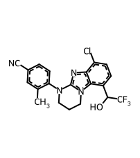 Cc1cc(C#N)ccc1N1CCCn2c1nc1c(Cl)ccc(C(O)C(F)(F)F)c12